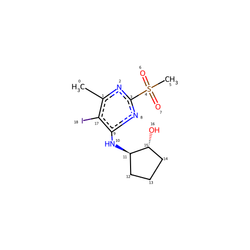 Cc1nc(S(C)(=O)=O)nc(N[C@@H]2CCC[C@H]2O)c1I